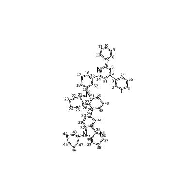 c1ccc(-c2cc(-c3ccccc3)nc(-c3cccc(-n4c5ccccc5c5c(-c6ccc7c(c6)c6ncccc6n7-c6ccccc6)cccc54)c3)c2)cc1